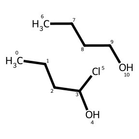 CCCC(O)Cl.CCCCO